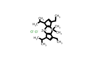 CCC1=CC(C(C)C)[C]2=C1[Si](C)(C)C1=[C]([Zr+2]2)C(C(C)C)C=C1CC.[Cl-].[Cl-]